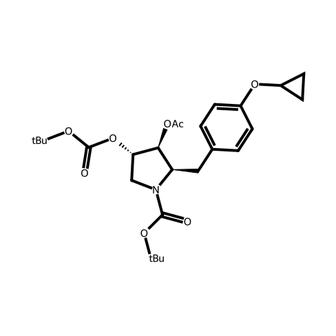 CC(=O)O[C@@H]1[C@@H](OC(=O)OC(C)(C)C)CN(C(=O)OC(C)(C)C)[C@@H]1Cc1ccc(OC2CC2)cc1